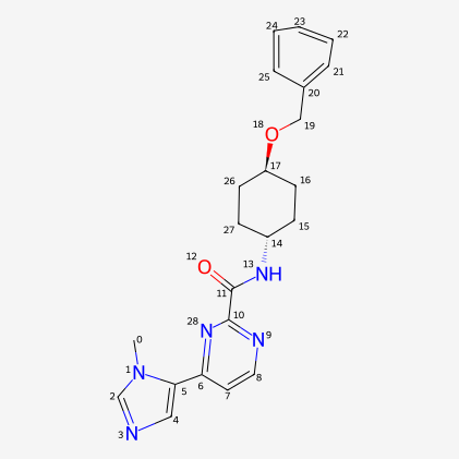 Cn1cncc1-c1ccnc(C(=O)N[C@H]2CC[C@H](OCc3ccccc3)CC2)n1